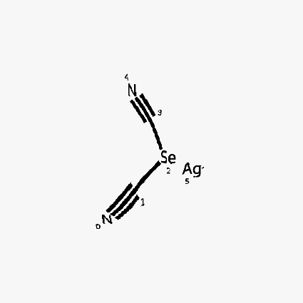 N#C[Se]C#N.[Ag]